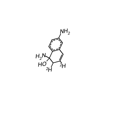 [2H]C1=Cc2cc(N)ccc2C(N)(O)C1[2H]